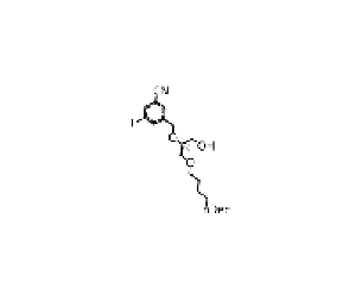 CCCCCCCCCCCCCCOC[C@H](CO)OCc1cc(F)cc(C#N)c1